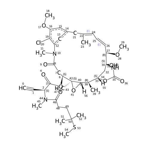 C#C[C@@H](C(=O)O[C@H]1CC(=O)N(C)c2cc(cc(OC)c2Cl)C/C(C)=C/C=C/[C@@H](OC)[C@@]2(O)C[C@H](OC(=O)N2)[C@@H](C)[C@@H]2O[C@@]12C)N(C)C(=O)CCC(C)(C)SC